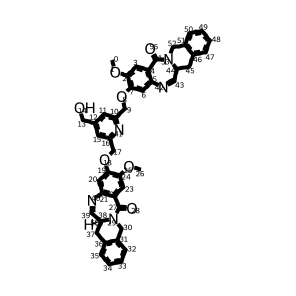 COc1cc2c(cc1OCc1cc(CO)cc(COc3cc4c(cc3OC)C(=O)N3Cc5ccccc5C[C@H]3C=N4)n1)N=CC1Cc3ccccc3CN1C2=O